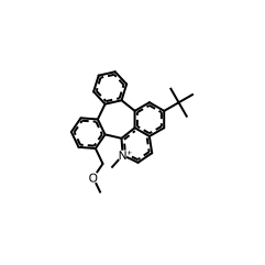 COCc1cccc2c1-c1c3c(cc(C(C)(C)C)cc3cc[n+]1C)-c1ccccc1-2